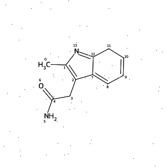 CC1=C(CC(N)=O)C2=CC=CCC2=N1